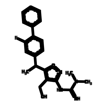 CC(c1ccc(-c2ccccc2)c(F)c1)c1onc(NC(=N)N(C)C)c1CO